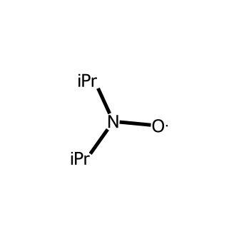 CC(C)N([O])C(C)C